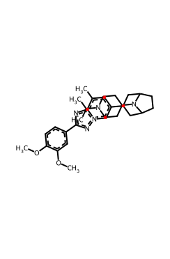 COc1ccc(-c2nc3c(C)cc(C4CC5CCC(C4)N5C4CCN(C(C)C)CC4)cn3n2)cc1OC